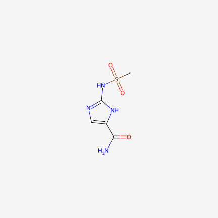 CS(=O)(=O)Nc1ncc(C(N)=O)[nH]1